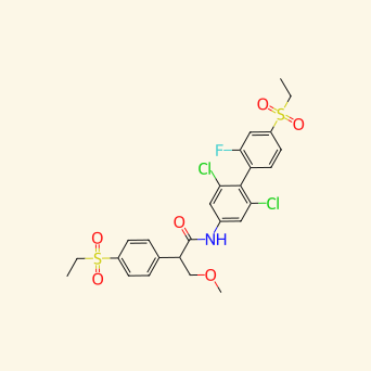 CCS(=O)(=O)c1ccc(C(COC)C(=O)Nc2cc(Cl)c(-c3ccc(S(=O)(=O)CC)cc3F)c(Cl)c2)cc1